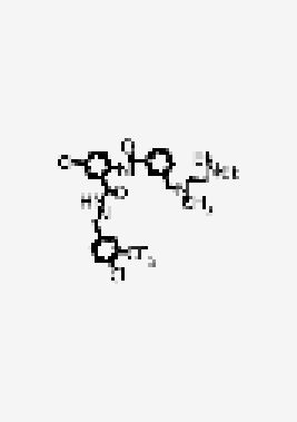 CCN(CC)CCN(C)Cc1cccc(C(=O)Nc2ccc(Cl)cc2C(=O)NN=Cc2ccc(Cl)c(C(F)(F)F)c2)c1